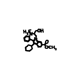 COC(=O)c1ccc2c(C3CCCCC3)c3n(c2c1)CC(CO)N(C)c1ccccc1-3